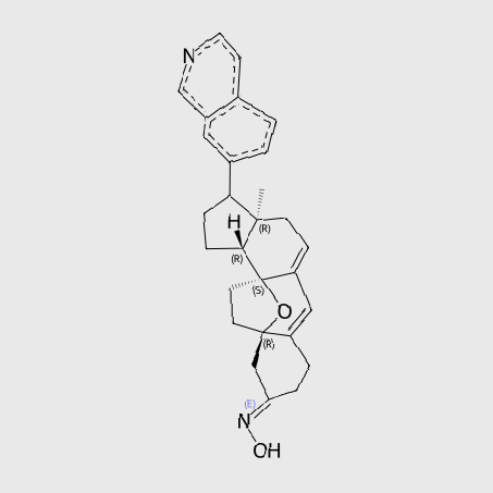 C[C@]12CC=C3C=C4CC/C(=N\O)C[C@]45CC[C@]3(O5)[C@@H]1CCC2c1ccc2ccncc2c1